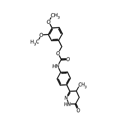 COc1ccc(COC(=O)Nc2ccc(C3=NNC(=O)CC3C)cc2)cc1OC